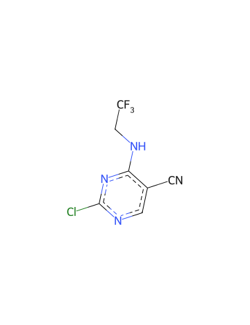 N#Cc1cnc(Cl)nc1NCC(F)(F)F